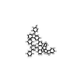 Cc1ccc(-n2c3ccccc3c3cc(-c4ccc5c(c4)N(c4nc(-c6ccccc6)nc(-c6ccccc6)n4)c4ccccc4C54c5ccccc5-c5c4ccc4oc6ccccc6c54)ccc32)cc1